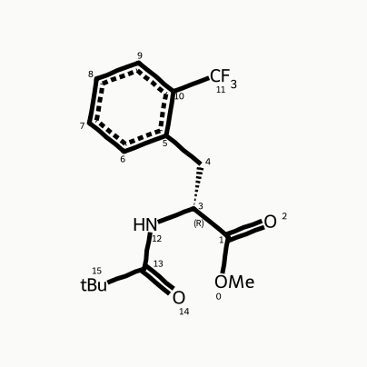 COC(=O)[C@@H](Cc1ccccc1C(F)(F)F)NC(=O)C(C)(C)C